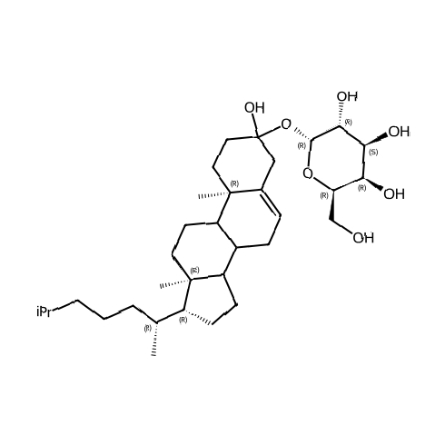 CC(C)CCC[C@@H](C)[C@H]1CCC2C3CC=C4CC(O)(O[C@H]5O[C@H](CO)[C@H](O)[C@H](O)[C@H]5O)CC[C@]4(C)C3CC[C@@]21C